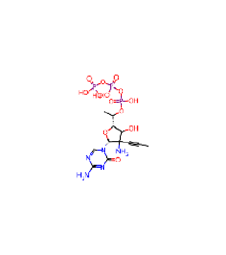 CC#CC1(N)C(O)[C@@H](C(C)OP(=O)(O)OP(=O)(O)OP(=O)(O)O)O[C@H]1n1cnc(N)nc1=O